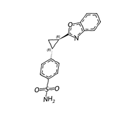 NS(=O)(=O)c1ccc([C@@H]2C[C@H]2c2nc3ccccc3o2)cc1